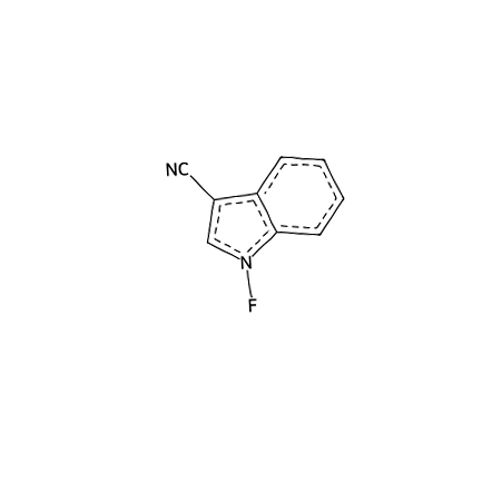 N#Cc1cn(F)c2ccccc12